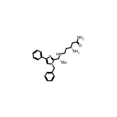 CC(C)(C)[C@@H](NCC[C@@H](N)CC(N)=O)c1nc(-c2ccccc2)cn1Cc1ccccc1